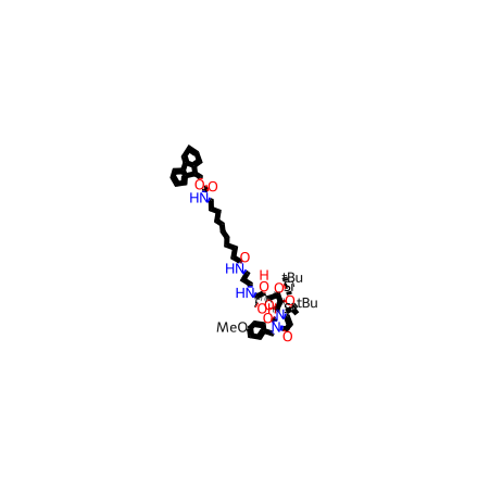 COc1ccc(Cn2c(=O)ccn([C@@H]3O[C@H](C(O)[C@H](CO)NCCCNC(=O)CCCCCCCCCCNC(=O)OCC4c5ccccc5-c5ccccc54)[C@@H](O[Si](C)(C)C(C)(C)C)[C@H]3O[Si](C)(C)C(C)(C)C)c2=O)cc1